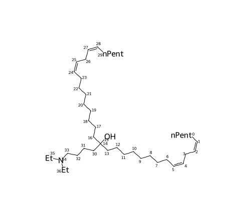 CCCCC/C=C\C/C=C\CCCCCCCCC(O)(CCCCCCCC/C=C\C/C=C\CCCCC)CCCCN(CC)CC